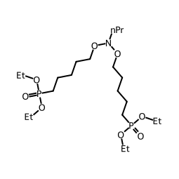 CCCN(OCCCCCP(=O)(OCC)OCC)OCCCCCP(=O)(OCC)OCC